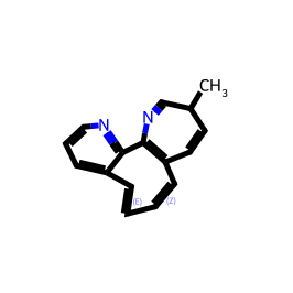 CC1C=CC2=C(N=C1)c1ncccc1/C=C/C=C\2